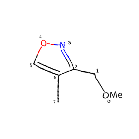 COCc1nocc1C